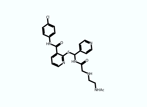 CC(=O)NCCNCC(=O)NC(Sc1ncccc1C(=O)Nc1ccc(Cl)cc1)c1ccncc1